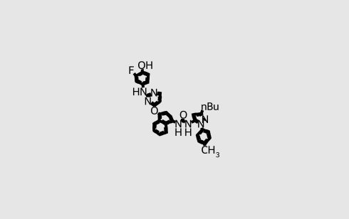 CCCCc1cc(NC(=O)Nc2ccc(Oc3ccnc(Nc4ccc(O)c(F)c4)n3)c3ccccc23)n(-c2ccc(C)cc2)n1